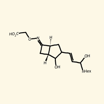 CCCCCCC(O)C=CC1C[C@@H]2C(=NOCC(=O)O)C[C@H]2C1O